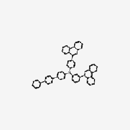 C1=CC2C=C(c3ccc(N(c4ccc(-c5ccc(-c6ccccc6)cc5)cc4)c4cccc(-c5cc6ccccc6c6ccccc56)c4)cc3)c3ccccc3C2C=C1